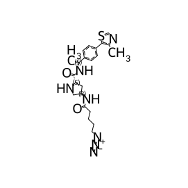 Cc1ncsc1-c1ccc([C@H](C)NC(=O)[C@@H]2C[C@@H](NC(=O)CCCCN=[N+]=[N-])CN2)cc1